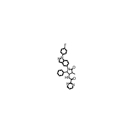 CC1C(=O)N(c2ccc3c(cnn3-c3ccc(F)cc3)c2)C(c2ccccc2)C1NC(=O)c1ncccn1